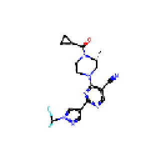 C[C@@H]1CN(c2nc(-c3cnn(C(F)F)c3)ncc2C#N)CCN1C(=O)C1CC1